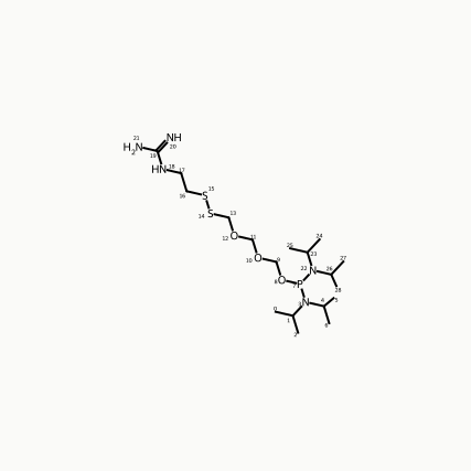 CC(C)N(C(C)C)P(OCOCOCSSCCNC(=N)N)N(C(C)C)C(C)C